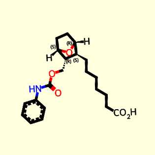 O=C(O)CCCCCC[C@H]1[C@H](COC(=O)Nc2ccccc2)[C@@H]2CC[C@H]1O2